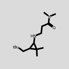 CN(C)C(=O)CCNC1C(CC(C)(C)C)C1(C)C